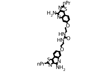 CCCc1nc2c(N)nc3cc(OCCNC(=O)NCCOc4ccc5c(c4)nc(N)c4nc(CCC)sc45)ccc3c2s1